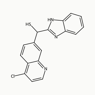 SC(c1ccc2c(Cl)ccnc2c1)c1nc2ccccc2[nH]1